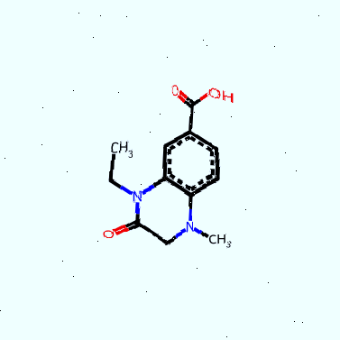 CCN1C(=O)CN(C)c2ccc(C(=O)O)cc21